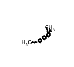 CCCCCC[C@H]1CC[C@H](C2CCC(C3CCCC(C#N)(CCCC)C3)CC2)CC1